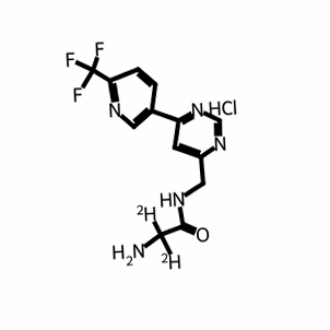 Cl.[2H]C([2H])(N)C(=O)NCc1cc(-c2ccc(C(F)(F)F)nc2)ncn1